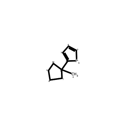 CC1(C2=CC=C[P]2)CCCC1